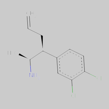 C=CC[C@@H](c1ccc(Cl)c(Cl)c1)[C@H](C)N